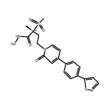 C[C@@](CCn1ccc(-c2ccc(-c3ccno3)cc2)cc1=O)(C(=O)NO)S(C)(=O)=O